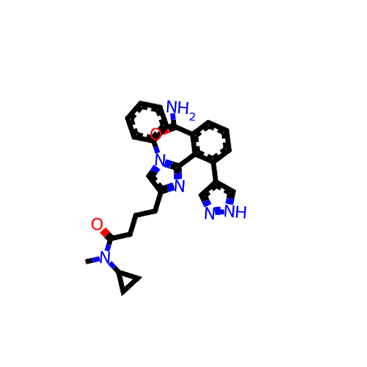 CN(C(=O)CCCc1cn(-c2ccccc2)c(-c2c(C(N)=O)cccc2-c2cn[nH]c2)n1)C1CC1